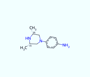 C[C@@H]1CN(c2ccc(N)cc2)C[C@H](C)N1